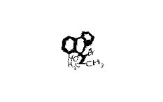 CC(C)=C(Br)C1(O)c2ccccc2-c2ccccc21